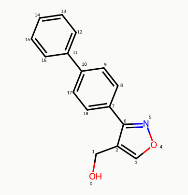 OCc1conc1-c1ccc(-c2ccccc2)cc1